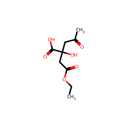 CCOC(=O)CC(O)(CC(C)=O)C(=O)O